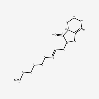 CCCCCCCCCCCCCCC/C=C/CC1CC2=NCCCN2C1=O